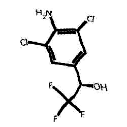 Nc1c(Cl)cc([C@@H](O)C(F)(F)F)cc1Cl